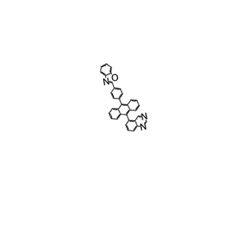 c1ccc2oc(-c3ccc(-c4c5ccccc5c(-c5cccc6ncncc56)c5ccccc45)cc3)nc2c1